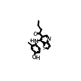 CCCC(=O)c1cnc2ccsc2c1Nc1ccc(O)cc1C